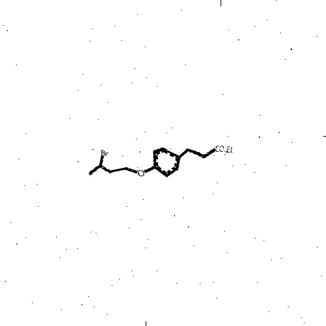 CCOC(=O)CCc1ccc(OCCC(C)Br)cc1